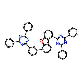 c1ccc(-c2nc(-c3ccccc3)nc(-c3cccc(-c4cccc5c4oc4cccc(-c6nc(-c7ccccc7)nc(-c7ccccc7)n6)c45)c3)n2)cc1